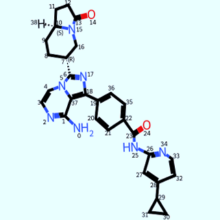 Nc1nccn2c([C@@H]3CC[C@H]4CCC(=O)N4C3)nc(-c3ccc(C(=O)Nc4cc(C5CC5)ccn4)cc3)c12